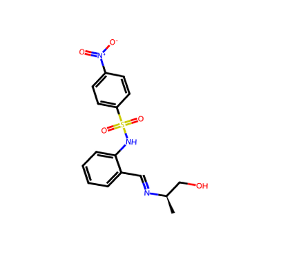 C[C@H](CO)/N=C/c1ccccc1NS(=O)(=O)c1ccc([N+](=O)[O-])cc1